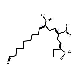 CC/C(=C\C/C(=C\C/C(=C\CCCCCCC[C]=O)[N+](=O)[O-])[N+](=O)[O-])[N+](=O)[O-]